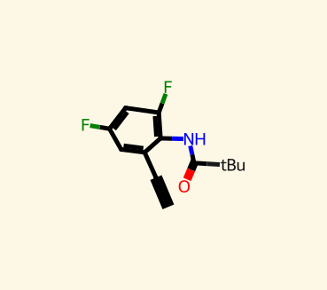 C#Cc1cc(F)cc(F)c1NC(=O)C(C)(C)C